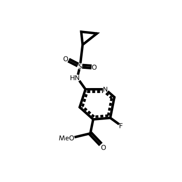 COC(=O)c1cc(NS(=O)(=O)C2CC2)ncc1F